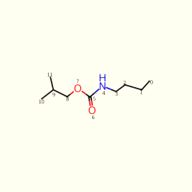 CCCCNC(=O)OCC(C)C